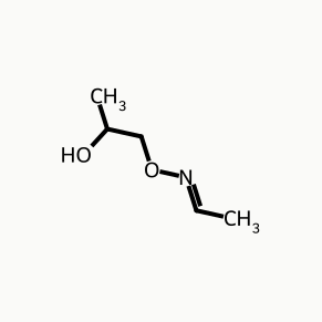 CC=NOCC(C)O